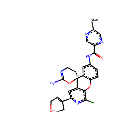 COc1cnc(C(=O)Nc2ccc3c(c2)[C@@]2(CCN=C(N)O2)c2cc(C4=CCOCC4)nc(F)c2O3)cn1